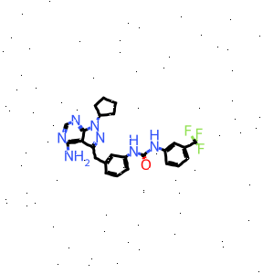 Nc1ncnc2c1c(Cc1cccc(NC(=O)Nc3cccc(C(F)(F)F)c3)c1)nn2C1CCCC1